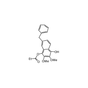 CCC(=O)Oc1c(OC)c(OC)c(O)c2ccc(Cc3ccccc3)cc12